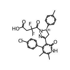 Cc1ccc([C@H]2CC(c3c(-c4ccc(Cl)cc4)c(C)c(C)[nH]c3=O)=NN2C(=O)C(F)(F)CC(=O)O)cc1